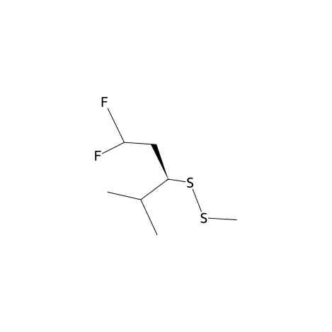 CSS[C@H](CC(F)F)C(C)C